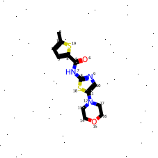 Cc1ccc(C(=O)Nc2ncc(N3CCOCC3)s2)s1